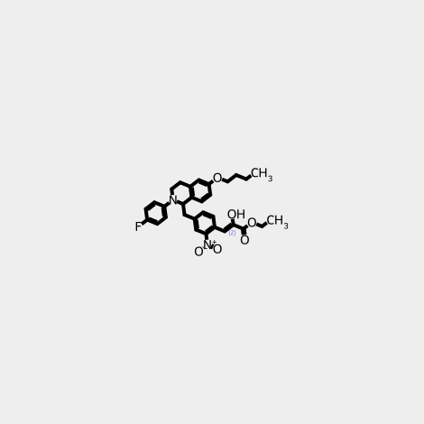 CCCCOc1ccc2c(c1)CCN(c1ccc(F)cc1)C2Cc1ccc(/C=C(\O)C(=O)OCC)c([N+](=O)[O-])c1